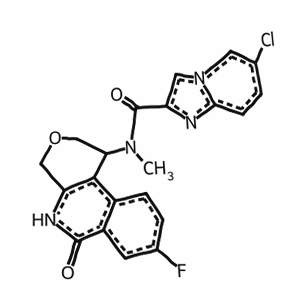 CN(C(=O)c1cn2cc(Cl)ccc2n1)C1COCc2[nH]c(=O)c3cc(F)ccc3c21